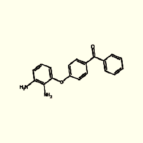 Nc1cccc(Oc2ccc(C(=O)c3ccccc3)cc2)c1N